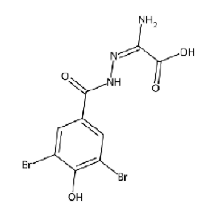 N/C(=N/NC(=O)c1cc(Br)c(O)c(Br)c1)C(=O)O